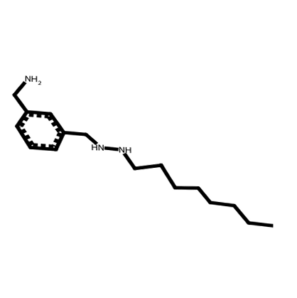 CCCCCCCCNNCc1cccc(CN)c1